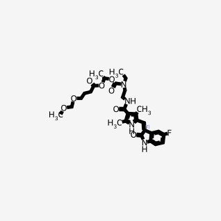 CCN(CCNC(=O)c1c(C)[nH]c(/C=C2\C(=O)Nc3ccc(F)cc32)c1C)C(=O)OC(C)OC(=O)CCCOCOC